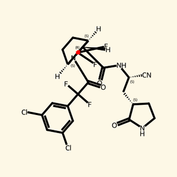 N#C[C@H](C[C@@H]1CCNC1=O)NC(=O)[C@H]1[C@@H]2CC[C@@H](CC2(F)F)N1C(=O)C(F)(F)c1cc(Cl)cc(Cl)c1